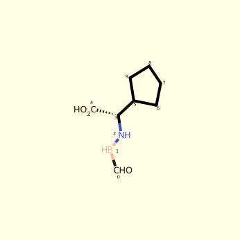 O=CBN[C@H](C(=O)O)C1CCCC1